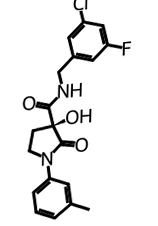 Cc1cccc(N2CC[C@](O)(C(=O)NCc3cc(F)cc(Cl)c3)C2=O)c1